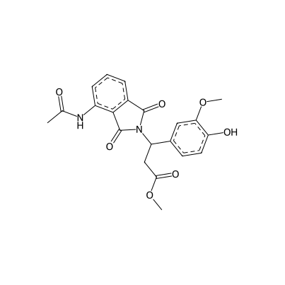 COC(=O)CC(c1ccc(O)c(OC)c1)N1C(=O)c2cccc(NC(C)=O)c2C1=O